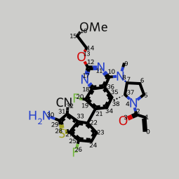 C=CC(=O)N1CC[C@@H](N(C)c2nc(OCCOC)nc3c(F)c(-c4ccc(F)c5sc(N)c(C#N)c45)ccc23)[C@H]1C